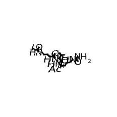 C=C(C)[C@H](NC(=O)CCCCNC(=O)CI)C(=O)N[C@@H](CCCNC(N)=O)C(C)=O